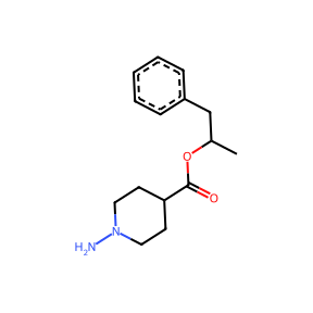 CC(Cc1ccccc1)OC(=O)C1CCN(N)CC1